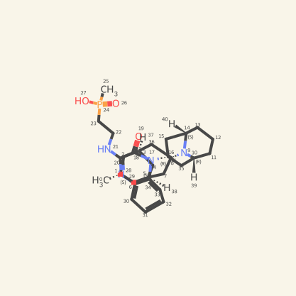 C[C@@H]1C[C@@H]2C[C@H](C1)C[C@@H](N1[C@@H]3CCC[C@H]1C[C@@H](n1c(=O)c(NCCP(C)(=O)O)nc4ccccc41)C3)C2